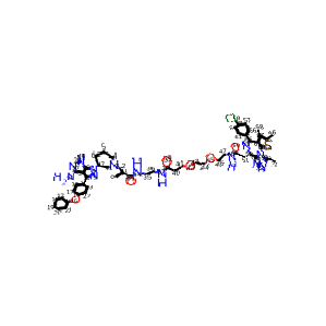 C=C(CN1CCC[C@@H](n2nc(-c3ccc(Oc4ccccc4)cc3)c3c(N)ncnc32)C1)C(=O)NCCNC(=O)CCOCCOCCNC(=O)C[C@@H]1N=C(c2ccc(Cl)cc2)c2c(sc(C)c2C)-n2c(C)nnc21